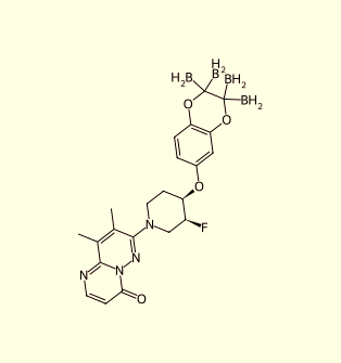 BC1(B)Oc2ccc(O[C@@H]3CCN(c4nn5c(=O)ccnc5c(C)c4C)C[C@@H]3F)cc2OC1(B)B